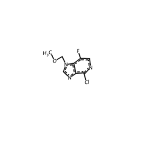 COCn1cnc2c(Cl)ncc(F)c21